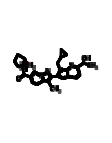 Cc1c(-c2cc3ccc(C(C)O)nc3n2CC2CC2)nn2cc(C(=O)N3CC4CCC3[C@@H]4N)ccc12